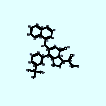 COC(=O)C1CSc2c(-c3cccc(C(F)(F)F)c3)c(Cc3cccc4ccccc34)cc(=O)n21